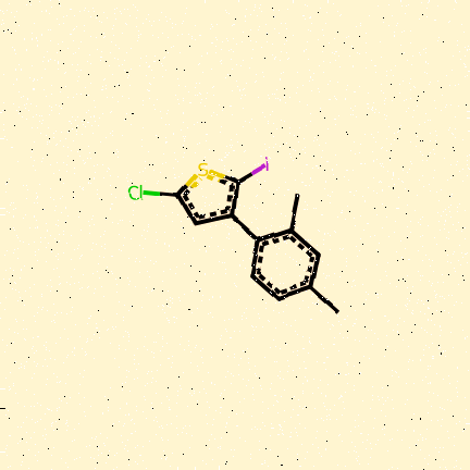 Cc1ccc(-c2cc(Cl)sc2I)c(C)c1